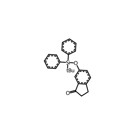 CC(C)(C)[Si](Oc1ccc2c(c1)C(=O)CC2)(c1ccccc1)c1ccccc1